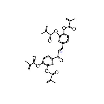 C=C(C)C(=O)Oc1ccc(/C=C/C(=O)c2ccc(OC(=O)C(=C)C)c(OC(=O)C(=C)C)c2)cc1OC(=O)C(=C)C